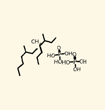 C.CCCCC(C)CC.CCCCC(C)CC.O=P(O)(O)O.O=P(O)(O)O